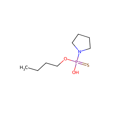 CCCCOP(O)(=S)N1CCCC1